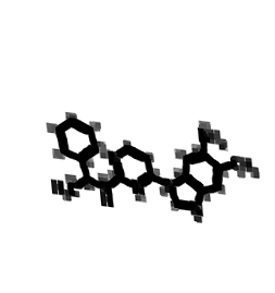 Cc1cc2ncn(-c3ccnc(NC(C)c4ccccc4)n3)c2cc1N